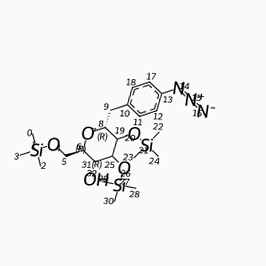 C[Si](C)(C)OC[C@H]1O[C@H](Cc2ccc(N=[N+]=[N-])cc2)C(O[Si](C)(C)C)C(O[Si](C)(C)C)[C@@H]1O